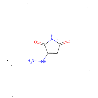 NNC1=CC(=O)NC1=O